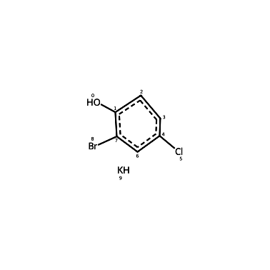 Oc1ccc(Cl)cc1Br.[KH]